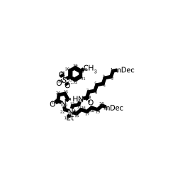 CCCCCCCCCCCCCCCCCC(=O)NCC[N+](CC)(CCCCCCCCCCCCCCCC)CN1CCCC1=O.Cc1ccc(S(=O)(=O)[O-])cc1